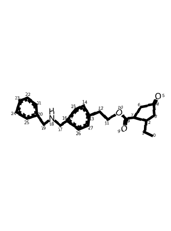 CCC1CC(=O)CC1C(=O)OCCc1ccc(CNCc2ccccc2)cc1